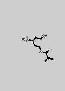 C=C(C)C(=O)OCCN(CCO)C(=O)O